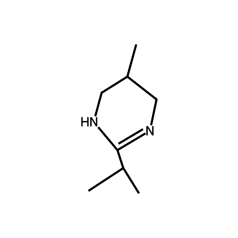 CC1CN=C(C(C)C)NC1